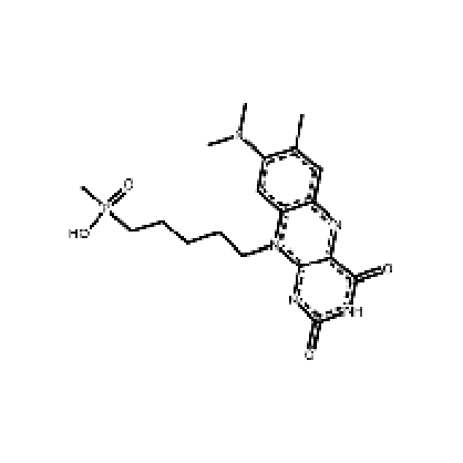 Cc1cc2nc3c(=O)[nH]c(=O)nc-3n(CCCCCP(C)(=O)O)c2cc1N(C)C